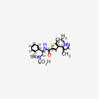 Cc1cnn(C)c1-c1cc(C(=O)N[C@@H](CN(C(=O)O)C(C)(C)C)c2ccccc2)sc1C